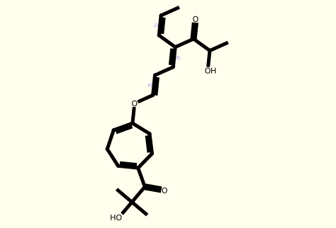 C\C=C/C(=C\C=C\OC1=CCC=C(C(=O)C(C)(C)O)C=C1)C(=O)C(C)O